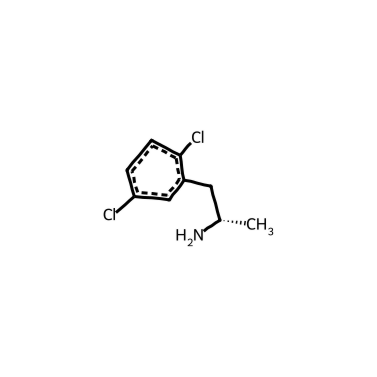 C[C@H](N)Cc1cc(Cl)ccc1Cl